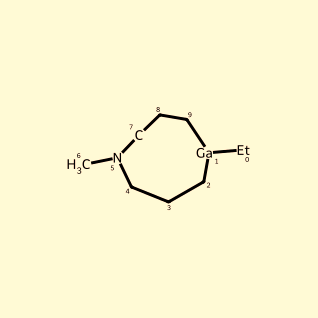 C[CH2][Ga]1[CH2]CCN(C)CC[CH2]1